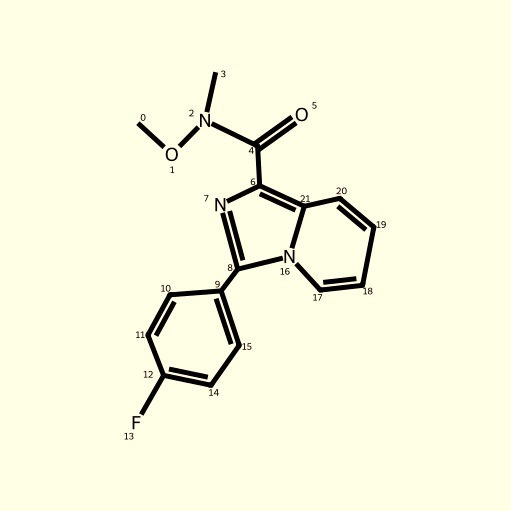 CON(C)C(=O)c1nc(-c2ccc(F)cc2)n2ccccc12